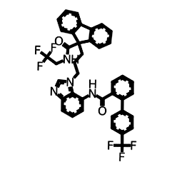 O=C(Nc1cccc2ncn(CCCC3(C(=O)NCC(F)(F)F)c4ccccc4-c4ccccc43)c12)c1ccccc1-c1ccc(C(F)(F)F)cc1